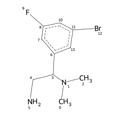 CN(C)C(CN)c1cc(F)cc(Br)c1